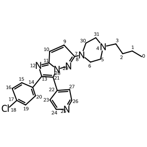 CCCCN1CCN(c2ccc3nc(-c4ccc(Cl)cc4)c(-c4ccncc4)n3n2)CC1